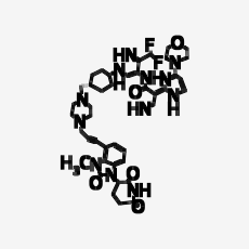 Cn1c(=O)n(C2CCC(=O)NC2=O)c2cccc(C#CCN3CCN(C[C@H]4CC[C@H](N/C=C(/NC(=O)/C(C=N)=C5\N=C(N6CCOCC6)C=CN5)C(=N)C(F)F)CC4)CC3)c21